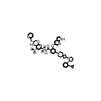 O=C(NS(=O)(=O)c1cc([N+](=O)[O-])c2c(n1)OC[C@H](Cc1ccccn1)N2)c1ccc(N2CCC3(CC2)CC(N2CCC[C@H]2c2ccccc2C2CC2)C3)cc1Oc1cnc2[nH]ccc2c1